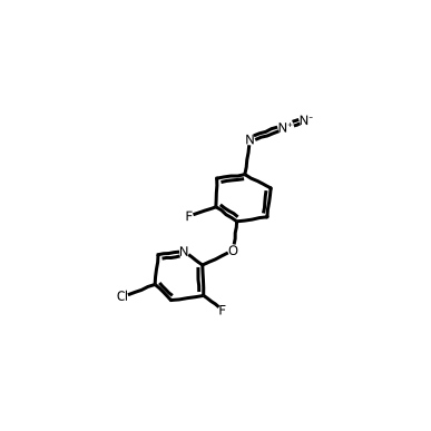 [N-]=[N+]=Nc1ccc(Oc2ncc(Cl)cc2F)c(F)c1